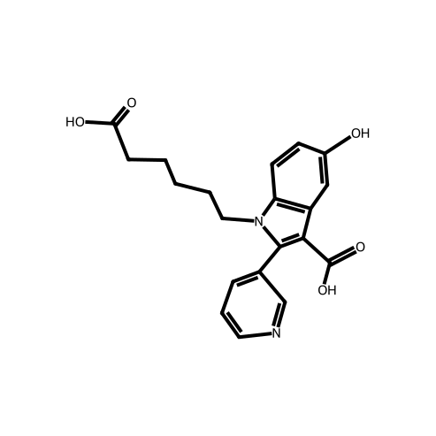 O=C(O)CCCCCn1c(-c2cccnc2)c(C(=O)O)c2cc(O)ccc21